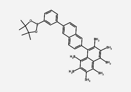 Bc1c(B)c(B)c2c(-c3ccc4cc(-c5cccc(B6OC(C)(C)C(C)(C)O6)c5)ccc4c3)c(B)c(B)c(B)c2c1B